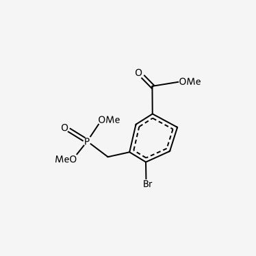 COC(=O)c1ccc(Br)c(CP(=O)(OC)OC)c1